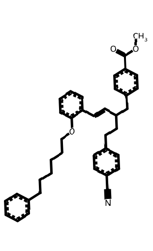 COC(=O)c1ccc(CC(C=Cc2ccccc2OCCCCCCc2ccccc2)CCc2ccc(C#N)cc2)cc1